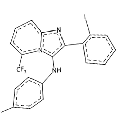 Fc1ccc(Nc2c(-c3ccccc3I)nc3cccc(C(F)(F)F)n23)cc1